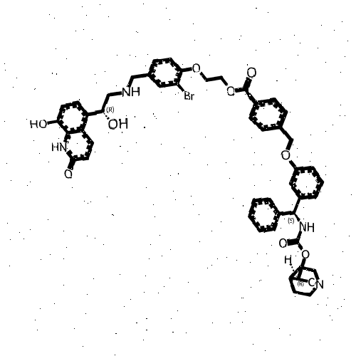 O=C(N[C@@H](c1ccccc1)c1cccc(OCc2ccc(C(=O)OCCOc3ccc(CNC[C@H](O)c4ccc(O)c5[nH]c(=O)ccc45)cc3Br)cc2)c1)O[C@H]1CN2CCC1CC2